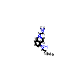 CNCCNc1cccc2c1C=CN(CCN(C)C)C2